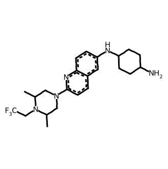 CC1CN(c2ccc3cc(NC4CCC(N)CC4)ccc3n2)CC(C)N1CC(F)(F)F